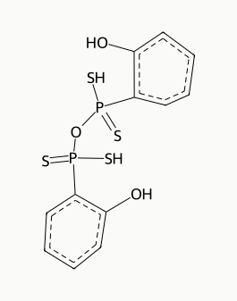 Oc1ccccc1P(=S)(S)OP(=S)(S)c1ccccc1O